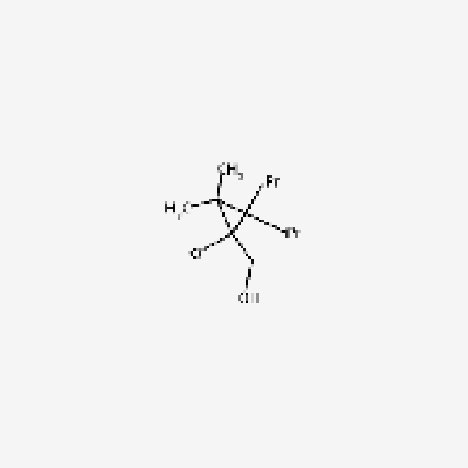 CC(C)C1(C(C)C)C(C)(C)C1([O])CO